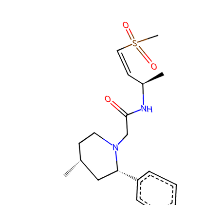 C[C@@H]1CCN(CC(=O)N[C@H](C)/C=C\S(C)(=O)=O)[C@H](c2ccccc2)C1